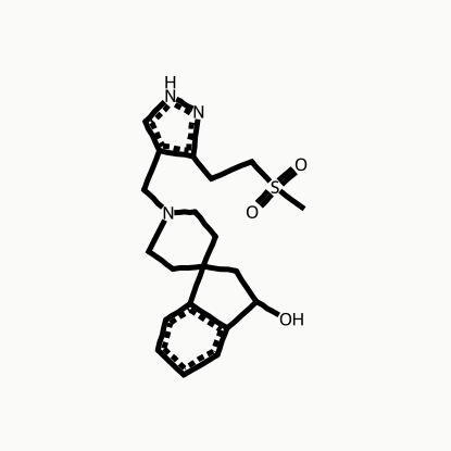 CS(=O)(=O)CCc1n[nH]cc1CN1CCC2(CC1)CC(O)c1ccccc12